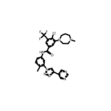 Cc1ccc(NC(=O)c2cc(N3CCCN(C)CC3)c(Cl)c(C(F)(F)F)c2)cc1-n1cc(-c2cncnc2)nn1